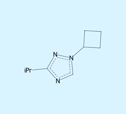 CC(C)c1ncn(C2CCC2)n1